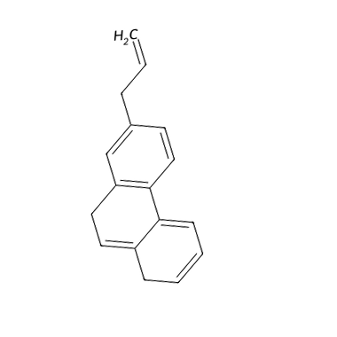 C=CCc1ccc2c(c1)CC=C1CC=CC=C12